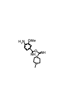 COc1cc(C(=N)OC(=N)N2CCN(C)CC2)ccc1N